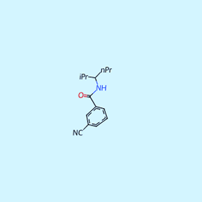 CCCC(NC(=O)c1cccc(C#N)c1)C(C)C